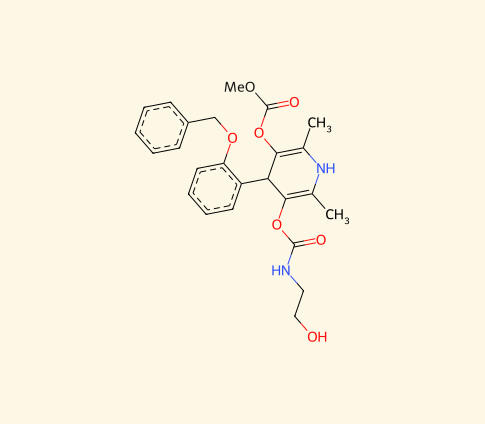 COC(=O)OC1=C(C)NC(C)=C(OC(=O)NCCO)C1c1ccccc1OCc1ccccc1